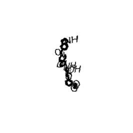 CS(=O)(=O)c1cccc(OC[C@@H](O)CNC2COC3(CCN(C(=O)c4ccc5[nH]ccc5c4)CC3)C2)c1